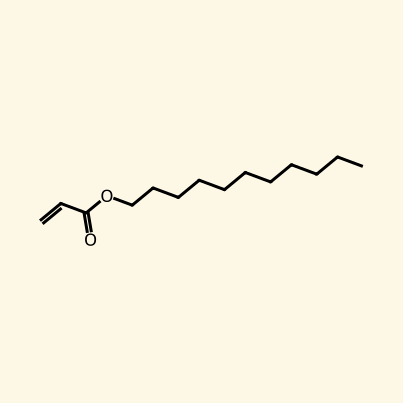 C=CC(=O)OCCCCCCCCCCC